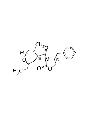 CCC(=O)C[C@H](C(=O)N1C(=O)OC[C@@H]1Cc1ccccc1)C(C)C